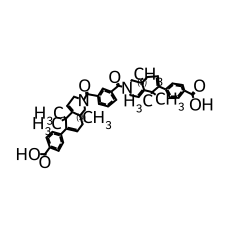 CC1(C)C(c2ccc(C(=O)O)cc2)=CC[C@]2(C)CN(C(=O)c3cccc(C(=O)N4CC=C5C(C)(C)C(c6ccc(C(=O)O)cc6)=CC[C@]5(C)C4)c3)CC=C12